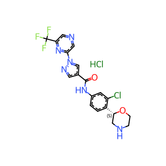 Cl.O=C(Nc1ccc([C@H]2CNCCO2)c(Cl)c1)c1cnn(-c2cncc(C(F)(F)F)n2)c1